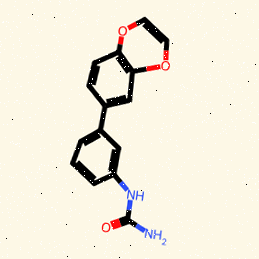 NC(=O)Nc1cccc(-c2ccc3c(c2)OC=CO3)c1